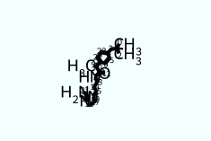 CC(C)Cc1ccc([C@@H](C)C(=O)NCCCN2CCN=C2N)cc1